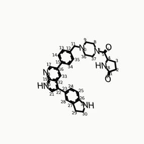 O=C1CCC(C(=O)N2CCN(Cc3ccc(-c4cnc5[nH]cc(-c6ccc7c(c6)CCN7)c5c4)cc3)CC2)N1